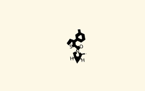 [CH2][C@H]1[C@H]2C[C@H]2CN1C(=O)c1sccc1-c1cccc(C)c1